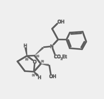 CCOC(=O)N(C[C@@H]1[C@H](CO)[C@@H]2CC[C@H]1O2)C(CO)c1ccccc1